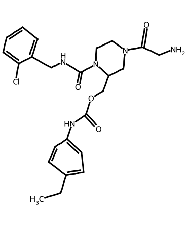 CCc1ccc(NC(=O)OCC2CN(C(=O)CN)CCN2C(=O)NCc2ccccc2Cl)cc1